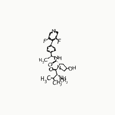 CN[C@H](C(=O)N1C[C@H](O)C[C@H]1C(=O)N[C@@H](C)c1ccc(-c2c(F)cncc2F)cc1)C(C)C